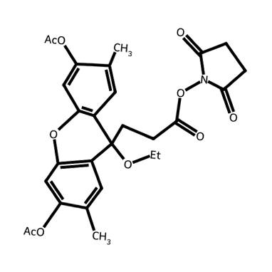 CCOC1(CCC(=O)ON2C(=O)CCC2=O)c2cc(C)c(OC(C)=O)cc2Oc2cc(OC(C)=O)c(C)cc21